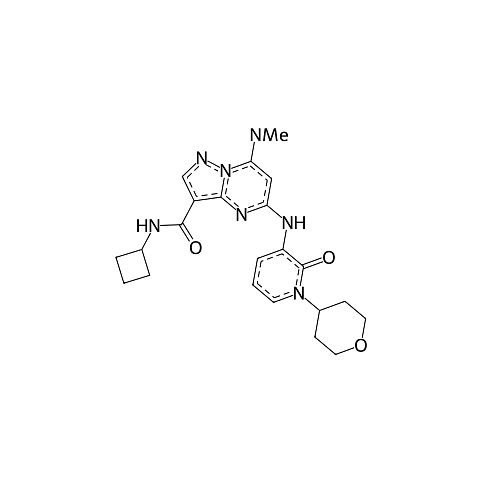 CNc1cc(Nc2cccn(C3CCOCC3)c2=O)nc2c(C(=O)NC3CCC3)cnn12